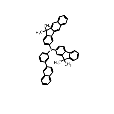 CC1(C)c2ccccc2-c2ccc(N(c3cccc(-c4ccc5ccccc5c4)c3)c3ccc4c(c3)-c3cc5ccccc5cc3C4(C)C)cc21